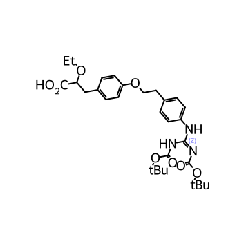 CCOC(Cc1ccc(OCCc2ccc(N/C(=N/C(=O)OC(C)(C)C)NC(=O)OC(C)(C)C)cc2)cc1)C(=O)O